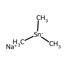 [CH3][Sn-]([CH3])[CH3].[Na+]